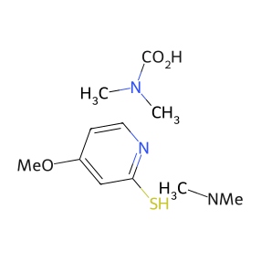 CN(C)C(=O)O.CNC.COc1ccnc(S)c1